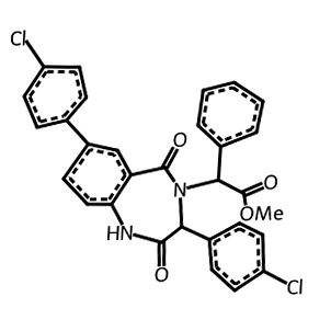 COC(=O)C(c1ccccc1)N1C(=O)c2cc(-c3ccc(Cl)cc3)ccc2NC(=O)C1c1ccc(Cl)cc1